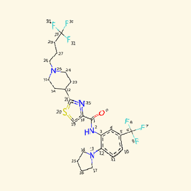 O=C(Nc1cc(C(F)(F)F)ccc1N1CCCC1)c1csc(C2CCN(CCCC(F)(F)F)CC2)n1